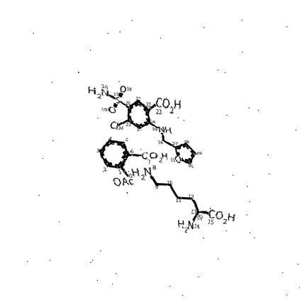 CC(=O)Oc1ccccc1C(=O)O.NCCCC[C@H](N)C(=O)O.NS(=O)(=O)c1cc(C(=O)O)c(NCc2ccco2)cc1Cl